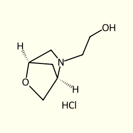 Cl.OCCN1C[C@H]2C[C@@H]1CO2